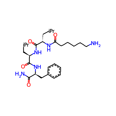 CC(C)C[C@H](NC(=O)CCCCCN)C(=O)N[C@H](CC(C)C)C(=O)N[C@@H](Cc1ccccc1)C(N)=O